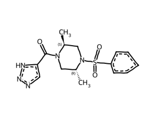 C[C@@H]1CN(C(=O)c2cnn[nH]2)[C@@H](C)CN1S(=O)(=O)c1ccccc1